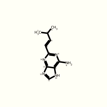 CC(C)C=Cc1nc(N)c2[nH]cnc2n1